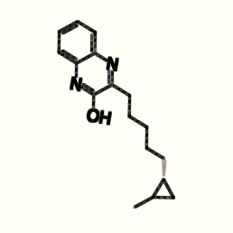 CC1C[C@H]1CCCCCc1nc2ccccc2nc1O